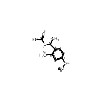 CCC(=O)OC(C)c1ccc(OC(C)CC)cc1C